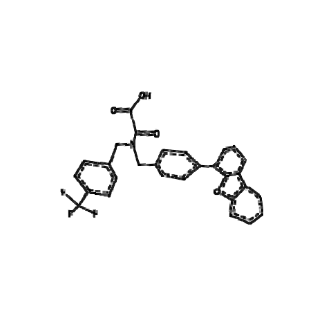 O=C(O)C(=O)N(Cc1ccc(-c2cccc3c2oc2ccccc23)cc1)Cc1ccc(C(F)(F)F)cc1